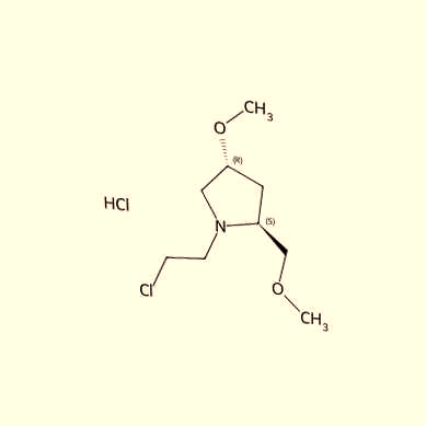 COC[C@@H]1C[C@@H](OC)CN1CCCl.Cl